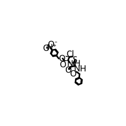 C[C@@]1(Cl)CS[C@H]2[C@H](NC(=O)Cc3ccccc3)C(=O)N2[C@H]1C(=O)OCc1ccc([N+](=O)[O-])cc1